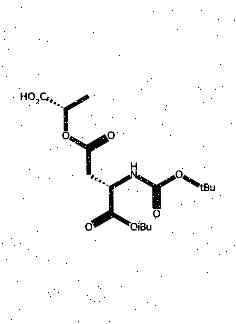 CC(C)COC(=O)[C@H](CC(=O)O[C@@H](C)C(=O)O)NC(=O)OC(C)(C)C